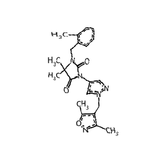 Cc1ccccc1CN1C(=O)N(c2cnn(Cc3c(C)noc3C)c2)C(=O)C1(C)C